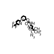 CC(C)(C)c1cc(NC(=O)OC2CCCN(c3ccc(C(F)(F)F)cn3)C2)no1